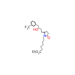 CCOC(=O)CCCCCCN1C(=O)CC[C@@H]1CCC(O)Cc1cccc(C(F)(F)F)c1